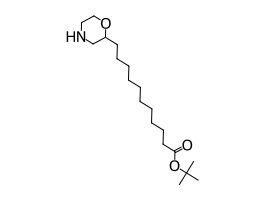 CC(C)(C)OC(=O)CCCCCCCCCCC1CNCCO1